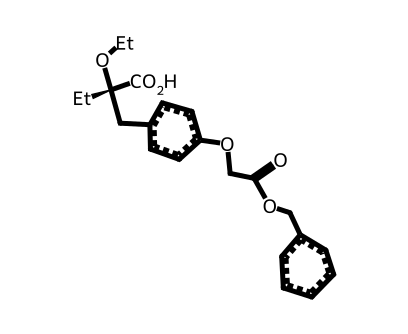 CCO[C@@](CC)(Cc1ccc(OCC(=O)OCc2ccccc2)cc1)C(=O)O